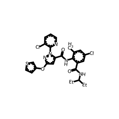 CCC(CC)NC(=O)c1cc(Cl)cc(C)c1NC(=O)c1cc(Oc2ccsc2)nn1-c1ncccc1Cl